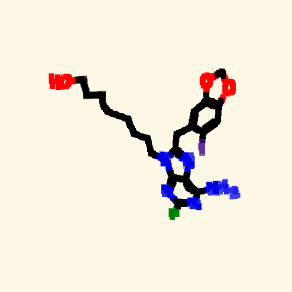 Nc1nc(F)nc2c1nc(Cc1cc3c(cc1I)OCO3)n2CCCCCCCCO